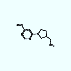 COc1cc(N2CCC(CN)C2)ncn1